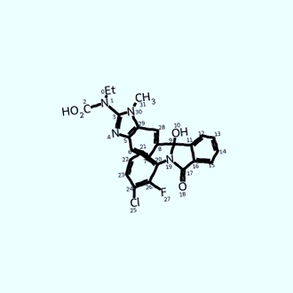 CCN(C(=O)O)c1nc2ccc(C3(O)c4ccccc4C(=O)N3c3cccc(Cl)c3F)cc2n1C